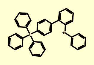 c1ccc(Nc2ccccc2-c2ccc([Si](c3ccccc3)(c3ccccc3)c3ccccc3)cc2)cc1